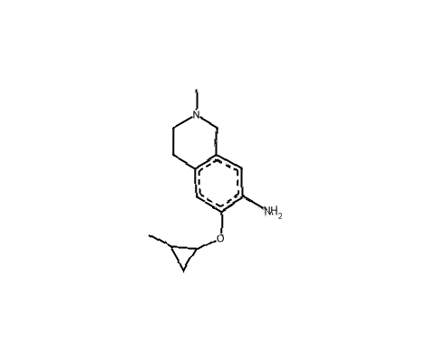 CC1CC1Oc1cc2c(cc1N)CN(C)CC2